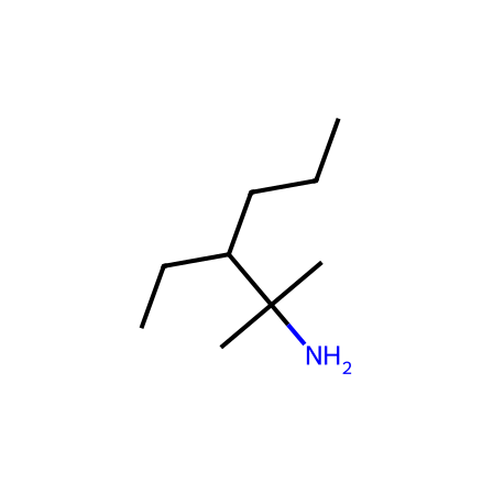 CCCC(CC)C(C)(C)N